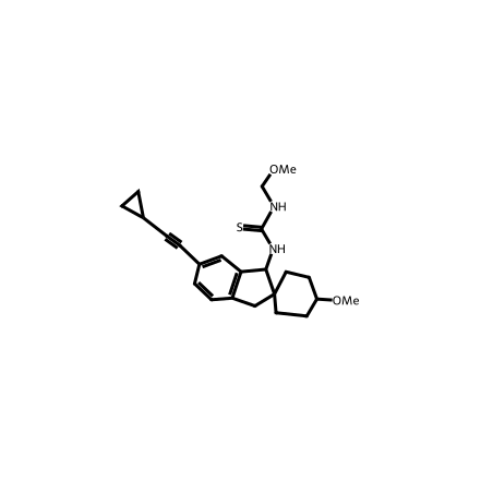 COCNC(=S)NC1c2cc(C#CC3CC3)ccc2CC12CCC(OC)CC2